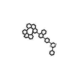 c1ccc(-c2cncc(-c3ccc(-c4ccc(-c5cc6ccc7cccc8c9cccc%10ccc%11cccc(c(c5)c6c78)c%11c%109)c5ccccc45)cc3)n2)cc1